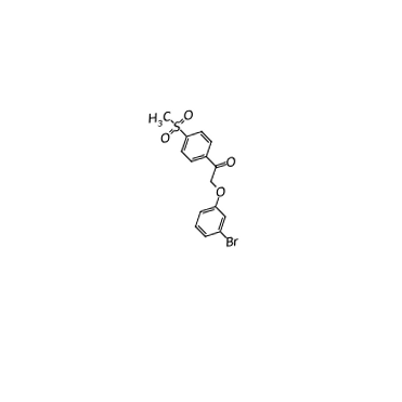 CS(=O)(=O)c1ccc(C(=O)COc2cccc(Br)c2)cc1